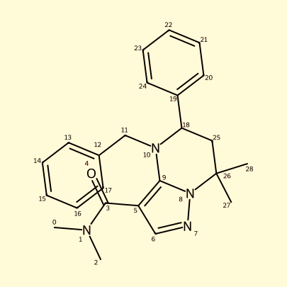 CN(C)C(=O)c1cnn2c1N(Cc1ccccc1)C(c1ccccc1)CC2(C)C